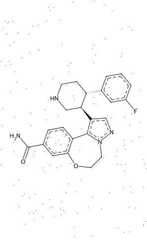 NC(=O)c1ccc2c(c1)OCCn1ncc([C@H]3CNCC[C@@H]3c3cccc(F)c3)c1-2